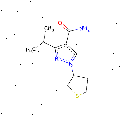 CC(C)c1nn(C2CCSC2)cc1C(N)=O